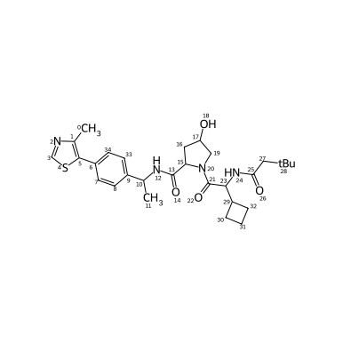 Cc1ncsc1-c1ccc(C(C)NC(=O)C2CC(O)CN2C(=O)C(NC(=O)CC(C)(C)C)C2CCC2)cc1